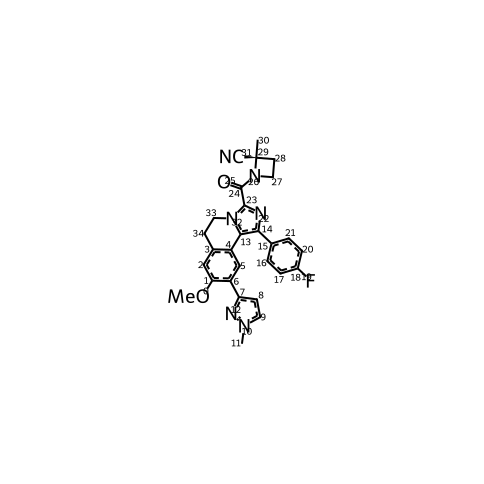 COc1cc2c(cc1-c1ccn(C)n1)-c1c(-c3ccc(F)cc3)nc(C(=O)N3CC[C@]3(C)C#N)n1CC2